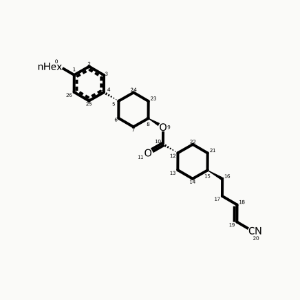 CCCCCCc1ccc([C@H]2CC[C@H](OC(=O)[C@H]3CC[C@H](CCC=CC#N)CC3)CC2)cc1